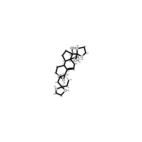 CC1([C@@]2(O)CCC3C4CC[C@@]56CC7(CC[C@@]5(O6)C4=CCC32C)OCCO7)OCCO1